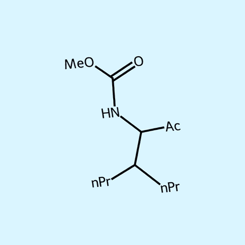 CCCC(CCC)C(NC(=O)OC)C(C)=O